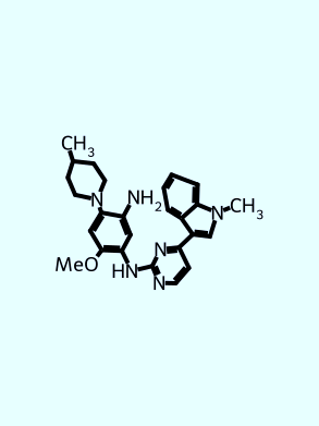 COc1cc(N2CCC(C)CC2)c(N)cc1Nc1nccc(-c2cn(C)c3ccccc23)n1